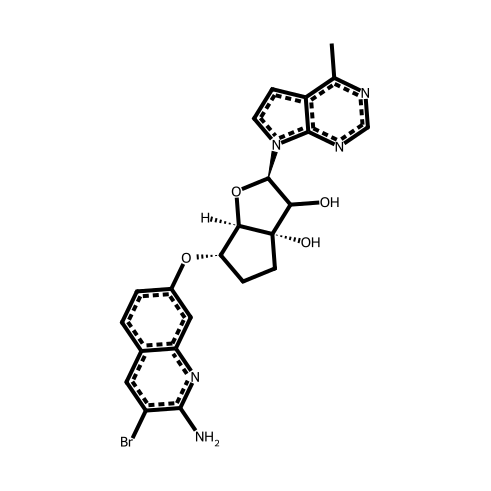 Cc1ncnc2c1ccn2[C@@H]1O[C@@H]2[C@@H](Oc3ccc4cc(Br)c(N)nc4c3)CC[C@]2(O)C1O